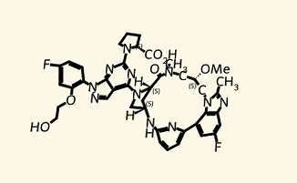 CO[C@H]1CN(C)C(=O)[C@@H]2C[C@@H](CN2c2nc(N3CCC[C@H]3C(=O)O)nc3c2cnn3-c2ccc(F)cc2OCCO)Nc2cccc(n2)-c2cc(F)cc3nc(C)n(c23)C1